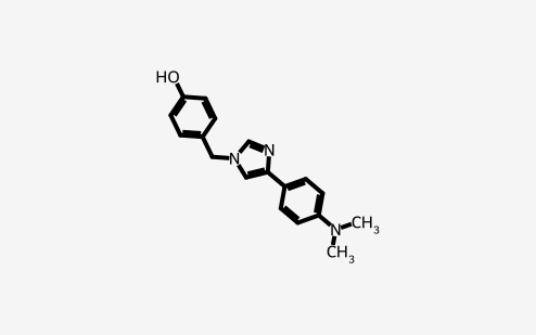 CN(C)c1ccc(-c2cn(Cc3ccc(O)cc3)cn2)cc1